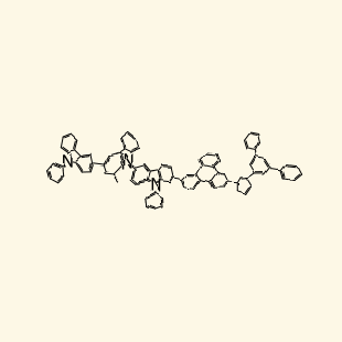 CC1CC(c2ccc3c(c2)c2ccccc2n3-c2ccccc2)=Cc2c1n(-c1ccc3c(c1)c1ccc(-c4ccc5c6ccc(-c7cccc(-c8cc(-c9ccccc9)cc(-c9ccccc9)c8)c7)cc6c6ccccc6c5c4)cc1n3-c1ccccc1)c1ccccc21